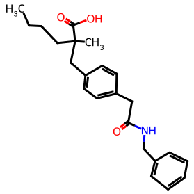 CCCCC(C)(Cc1ccc(CC(=O)NCc2ccccc2)cc1)C(=O)O